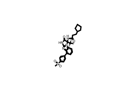 CS(=O)(=O)c1ccc(-c2cccc3c2nc2n3C(NC(=O)CCC3CCCC3)(C(F)(F)F)C(=O)N2)cc1